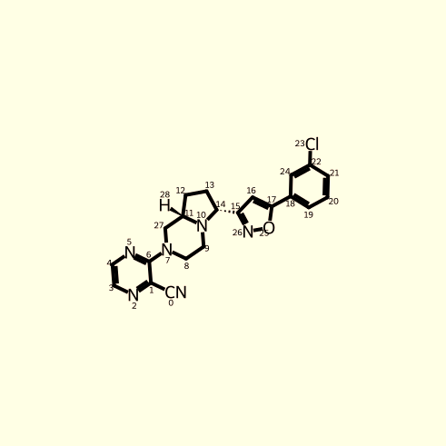 N#Cc1nccnc1N1CCN2[C@@H](CC[C@@H]2c2cc(-c3cccc(Cl)c3)on2)C1